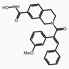 COc1cccc(C(=Cc2ccccc2)C(=O)N2CCc3ccc(C(=O)NO)cc3C2)c1